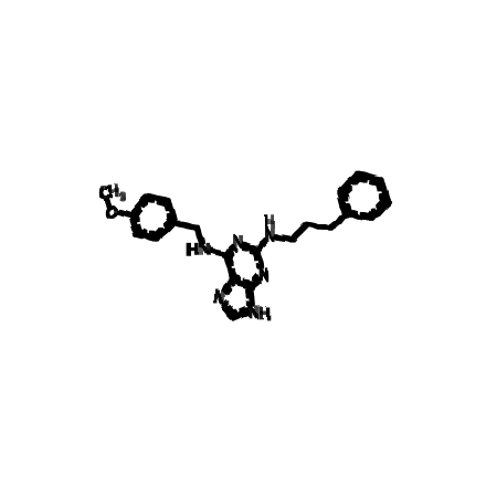 COc1ccc(CNc2nc(NCCCc3ccccc3)nc3[nH]cnc23)cc1